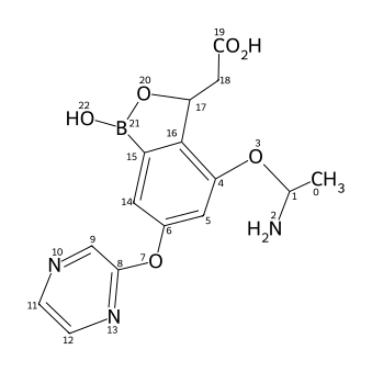 CC(N)Oc1cc(Oc2cnccn2)cc2c1C(CC(=O)O)OB2O